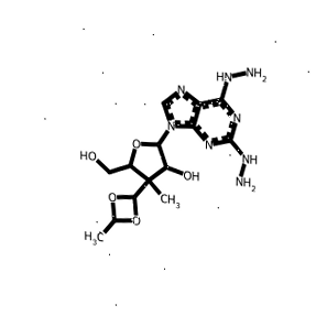 CC1OC(C2(C)C(CO)OC(n3cnc4c(NN)nc(NN)nc43)C2O)O1